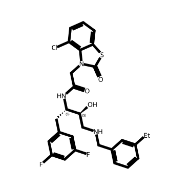 CCc1cccc(CNC[C@H](O)[C@H](Cc2cc(F)cc(F)c2)NC(=O)Cn2c(=O)sc3cccc(Cl)c32)c1